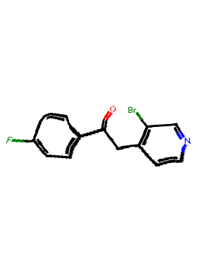 O=C(Cc1ccncc1Br)c1ccc(F)cc1